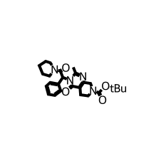 Cc1nc2c(c(=O)n1C(C(=O)N1CCCCC1)c1ccccc1)CCN(C(=O)OC(C)(C)C)C2